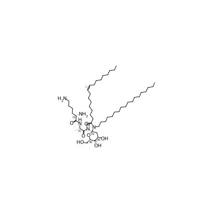 CCCCCCCC/C=C\CCCCCCCC(=O)N(CCCCCCCCCCCCCCCCCC)[C@@]1(NC(=O)[C@H](C)NC(=O)[C@@H](N)CCCCN)C[C@@H](O)[C@H](O)[C@@H](CO)O1